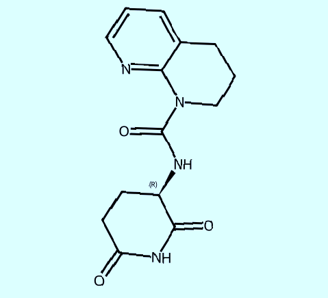 O=C1CC[C@@H](NC(=O)N2CCCc3cccnc32)C(=O)N1